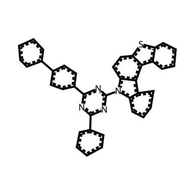 c1ccc(-c2ccc(-c3nc(-c4ccccc4)nc(-n4c5ccccc5c5c6c(ccc54)sc4ccccc46)n3)cc2)cc1